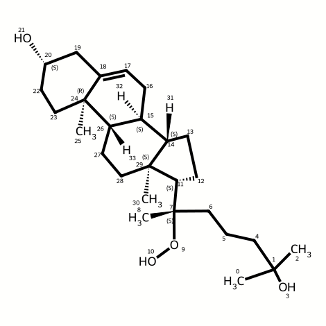 CC(C)(O)CCC[C@](C)(OO)[C@H]1CC[C@H]2[C@@H]3CC=C4C[C@@H](O)CC[C@]4(C)[C@H]3CC[C@@]21C